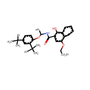 CCCC(NC(=O)c1cc(OCC(=O)OCC)c2ccccc2c1O)Oc1ccc(C(C)(C)CC)cc1C(C)(C)CC